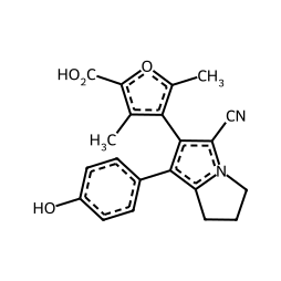 Cc1oc(C(=O)O)c(C)c1-c1c(-c2ccc(O)cc2)c2n(c1C#N)CCC2